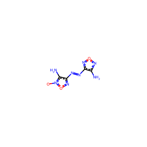 Nc1nonc1N=Nc1no[n+]([O-])c1N